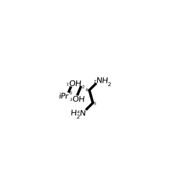 CC(C)O.CO.NCCN